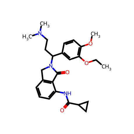 CCOc1cc(C(CCN(C)C)N2Cc3cccc(NC(=O)C4CC4)c3C2=O)ccc1OC